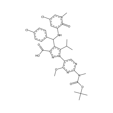 COc1nc(N(C)C(=O)OC(C)(C)C)ncc1-n1nc(C(=O)O)c(C(Nc2cc(Cl)cn(C)c2=O)c2ccc(Cl)cc2)c1C(C)C